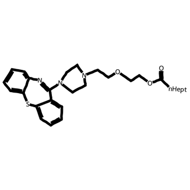 CCCCCCCC(=O)OCCOCCN1CCN(C2=Nc3ccccc3Sc3ccccc32)CC1